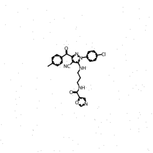 Cc1ccc(C(=O)c2nn(-c3ccc(Cl)cc3)c(NCCCNC(=O)c3cnco3)c2C#N)cc1